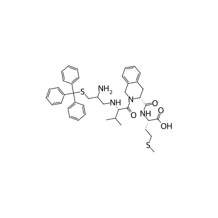 CSCC[C@H](NC(=O)[C@H]1Cc2ccccc2CN1C(=O)[C@@H](NCC(N)CSC(c1ccccc1)(c1ccccc1)c1ccccc1)C(C)C)C(=O)O